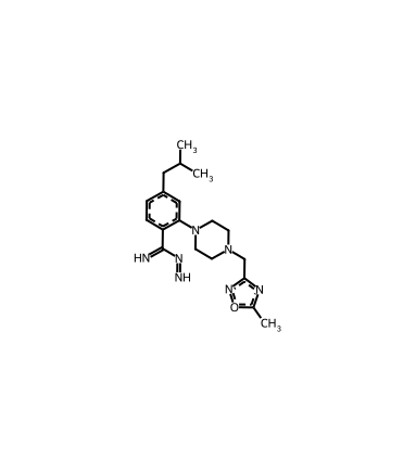 Cc1nc(CN2CCN(c3cc(CC(C)C)ccc3C(=N)N=N)CC2)no1